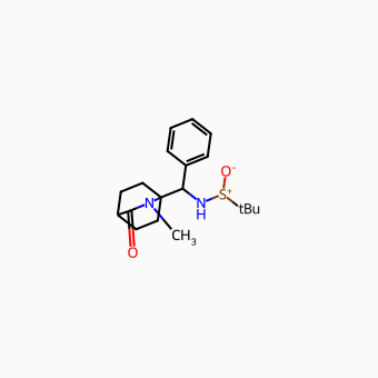 CN1C(=O)C2CCC1(C(N[S+]([O-])C(C)(C)C)c1ccccc1)CC2